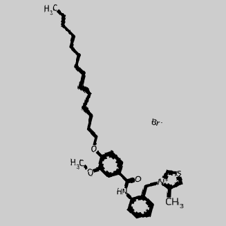 CCCCCCCCCCCCCCOc1ccc(C(=O)Nc2ccccc2C[n+]2cscc2C)cc1OC.[Br-]